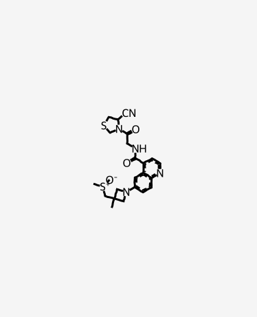 C[S+]([O-])CC1(C)CN(c2ccc3nccc(C(=O)NCC(=O)N4CSCC4C#N)c3c2)C1